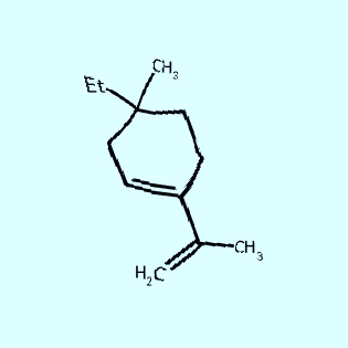 C=C(C)C1=CCC(C)(CC)CC1